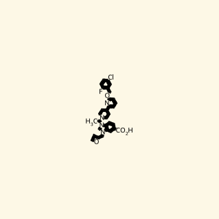 C[C@@H](N1CCC(c2cccc(OCc3cc(Cl)ccc3F)n2)CC1)N1CN(CC2CCO2)c2cc(C(=O)O)ccc21